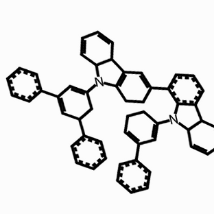 C1=CC2C3=C(CCC(c4cccc5c4N(C4=CC(c6ccccc6)=CCC4)C4C=CC=CC54)=C3)N(C3=CC(c4ccccc4)=CC(c4ccccc4)C3)C2C=C1